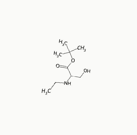 CCNC(CO)C(=O)OC(C)(C)C